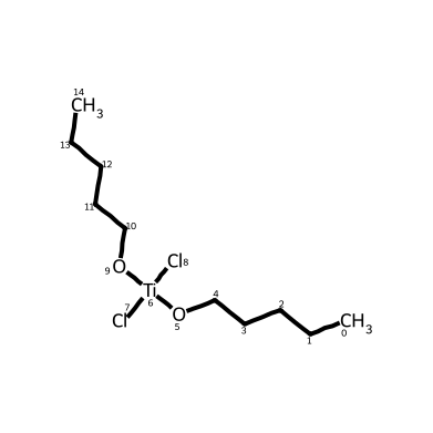 CCCCC[O][Ti]([Cl])([Cl])[O]CCCCC